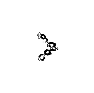 c1cc2c(cc1CNc1ccc3ncc(-c4ccc(N5CCOCC5)cc4)n3n1)OCO2